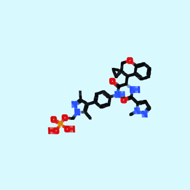 Cc1nn(COP(=O)(O)O)c(C)c1-c1ccc(NC(=O)[C@@H](NC(=O)c2ccnn2C)C2c3ccccc3OCC23CC3)cc1